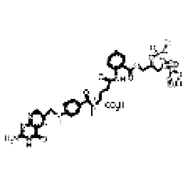 CCOP(=O)(OCC)OCC(COC(=O)c1ccccc1NC(=O)CC[C@@H](NC(=O)c1ccc(NCc2cnc3nc(N)[nH]c(=O)c3n2)cc1)C(=O)O)OP(=O)(OCC)OCC